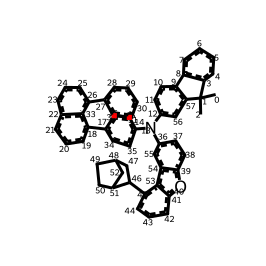 CC1(C)c2ccccc2-c2ccc(N(c3ccc(-c4cccc5cccc(-c6ccccc6)c45)cc3)c3ccc4oc5cccc(C6CC7CCC6C7)c5c4c3)cc21